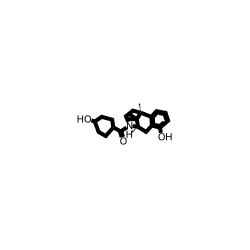 CC1(C)[C@H]2Cc3c(O)cccc3[C@]1(C)CCN2C(=O)C1CCC(O)CC1